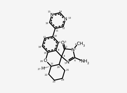 CN1C(=O)C2(N=C1N)c1cc(-c3cncnc3)ccc1O[C@@H]1CCCCC12